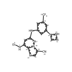 CCNc1cc(Nc2cc(-n3cn[nH]3)cc(C(F)(F)F)c2)nn2c(C#N)cnc12